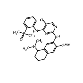 COc1cc2c(cc1Nc1ncc(Cl)c(Nc3ccccc3P(C)(C)=O)n1)C(N(C)C)CCC2